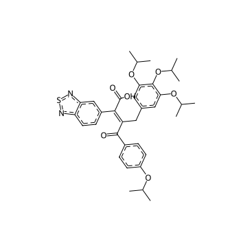 CC(C)Oc1ccc(C(=O)/C(Cc2cc(OC(C)C)c(OC(C)C)c(OC(C)C)c2)=C(/C(=O)O)c2ccc3nsnc3c2)cc1